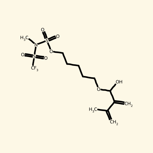 C=C(C)C(=C)C(O)OCCCCCOS(=O)(=O)N(C)S(=O)(=O)C(F)(F)F